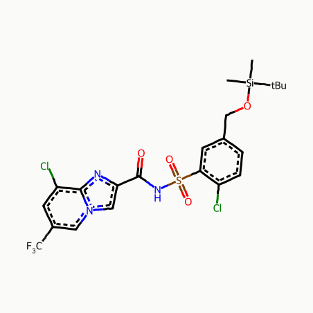 CC(C)(C)[Si](C)(C)OCc1ccc(Cl)c(S(=O)(=O)NC(=O)c2cn3cc(C(F)(F)F)cc(Cl)c3n2)c1